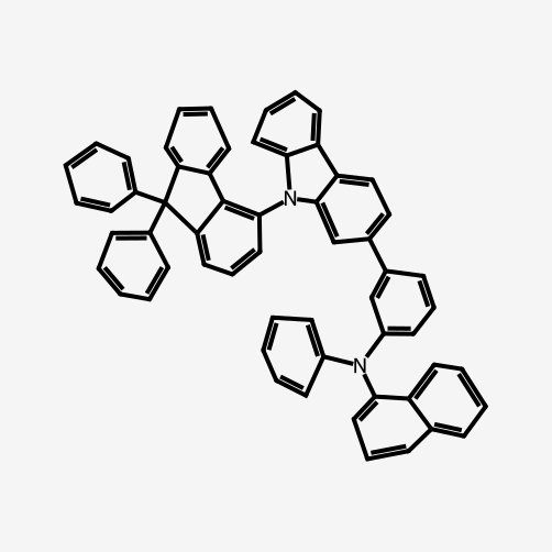 c1ccc(N(c2cccc(-c3ccc4c5ccccc5n(-c5cccc6c5-c5ccccc5C6(c5ccccc5)c5ccccc5)c4c3)c2)c2cccc3ccccc23)cc1